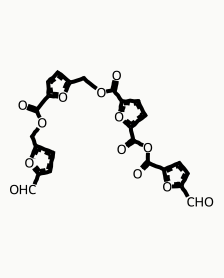 O=Cc1ccc(COC(=O)c2ccc(COC(=O)c3ccc(C(=O)OC(=O)c4ccc(C=O)o4)o3)o2)o1